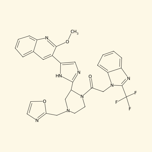 COc1nc2ccccc2cc1-c1cnc(C2CN(Cc3ncco3)CCN2C(=O)Cn2c(C(F)(F)F)nc3ccccc32)[nH]1